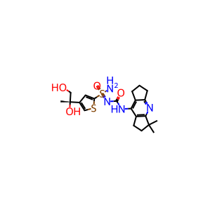 CC1(C)CCc2c1nc1c(c2NC(=O)N=S(N)(=O)c2cc([C@](C)(O)CO)cs2)CCC1